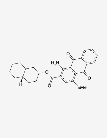 CSc1cc(C(=O)O[C@@H]2CC[C@@H]3CCCCC3C2)c(N)c2c1C(=O)c1ccccc1C2=O